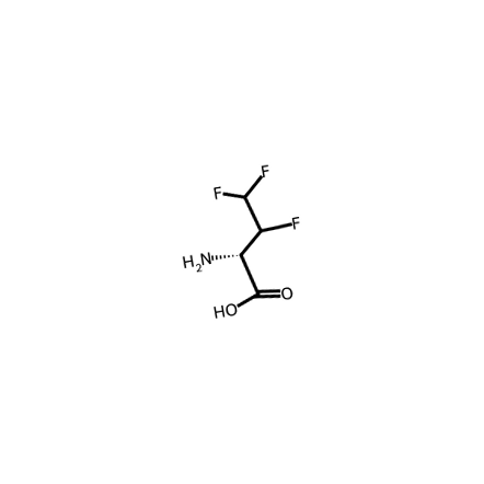 N[C@@H](C(=O)O)C(F)C(F)F